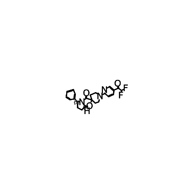 O=C(c1ccc(N2CCC3(CC2)O[C@@H]2CC[C@@H](c4ccccc4)N2C3=O)nc1)C(F)F